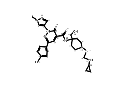 Cn1cc(-n2nc(-c3ccc(Cl)cc3)cc(C(=O)NC3(CO)CCN(SCNC4CC4)CC3)c2=O)cn1